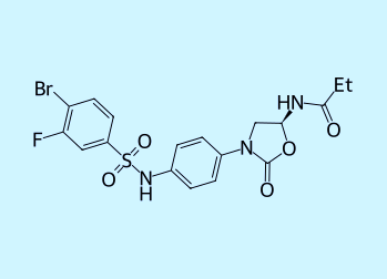 CCC(=O)N[C@@H]1CN(c2ccc(NS(=O)(=O)c3ccc(Br)c(F)c3)cc2)C(=O)O1